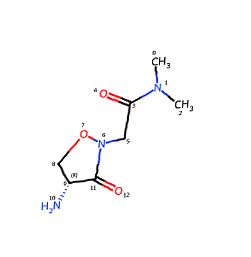 CN(C)C(=O)CN1OC[C@@H](N)C1=O